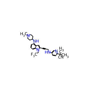 CN1CCC(Nc2cccc3c2cc(C#CCNc2ccc(C(C)(C)C#N)nc2)n3CC(F)(F)F)CC1